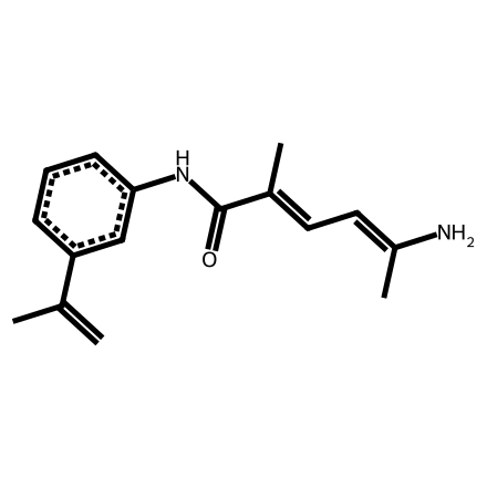 C=C(C)c1cccc(NC(=O)/C(C)=C/C=C(\C)N)c1